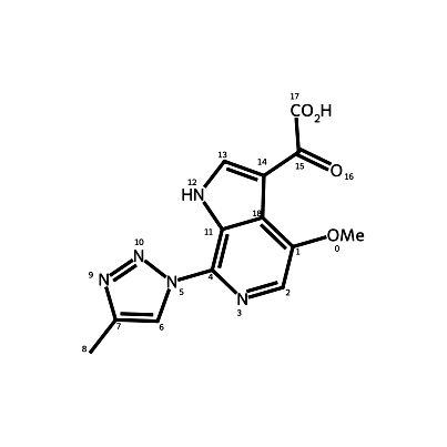 COc1cnc(-n2cc(C)nn2)c2[nH]cc(C(=O)C(=O)O)c12